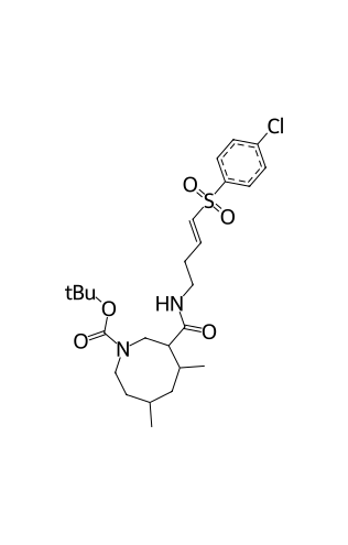 CC1CCN(C(=O)OC(C)(C)C)CC(C(=O)NCC/C=C/S(=O)(=O)c2ccc(Cl)cc2)C(C)C1